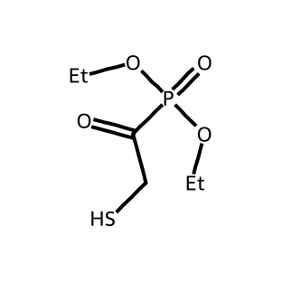 CCOP(=O)(OCC)C(=O)CS